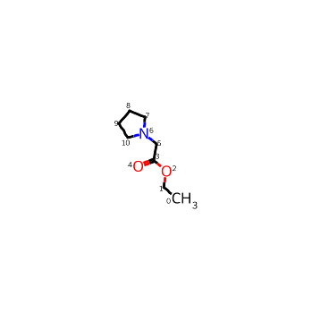 CCOC(=O)CN1CCCC1